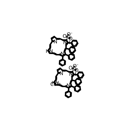 O=S(=O)([O-])c1c(-c2ccccc2)c2[nH]c1cc1nc(cc3ccc(cc4nc(c2-c2ccccc2)C(c2ccccc2)=C4c2ccccc2)[nH]3)C=C1.O=S(=O)([O-])c1c(-c2ccccc2)c2[nH]c1cc1nc(cc3ccc(cc4nc(c2-c2ccccc2)C(c2ccccc2)=C4c2ccccc2)[nH]3)C=C1.[Co+2]